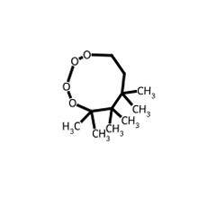 CC1(C)CCOOOOC(C)(C)C1(C)C